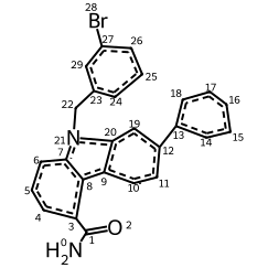 NC(=O)c1cccc2c1c1[c]cc(-c3ccccc3)cc1n2Cc1cccc(Br)c1